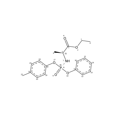 CCOC(=O)[C@H](C)N[P@@](=O)(Oc1ccccc1)Oc1ccc(C)cc1